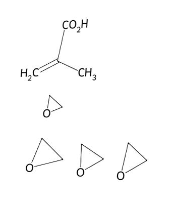 C1CO1.C1CO1.C1CO1.C1CO1.C=C(C)C(=O)O